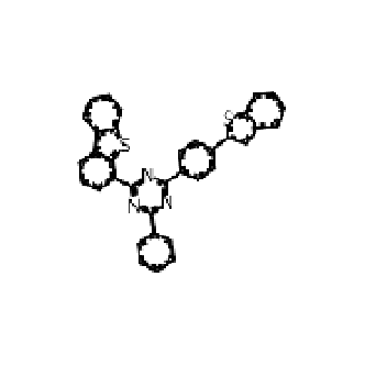 c1ccc(-c2nc(-c3ccc(-c4cc5ccccc5s4)cc3)nc(-c3cccc4c3sc3ccccc34)n2)cc1